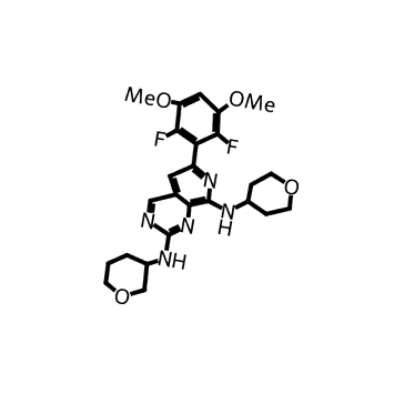 COc1cc(OC)c(F)c(-c2cc3cnc(NC4CCCOC4)nc3c(NC3CCOCC3)n2)c1F